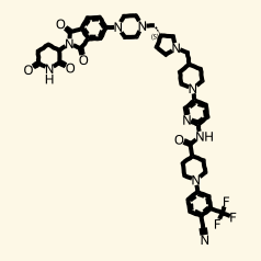 N#Cc1ccc(N2CCC(C(=O)Nc3ccc(N4CCC(CN5CC[C@H](CN6CCN(c7ccc8c(c7)C(=O)N(C7CCC(=O)NC7=O)C8=O)CC6)C5)CC4)cn3)CC2)cc1C(F)(F)F